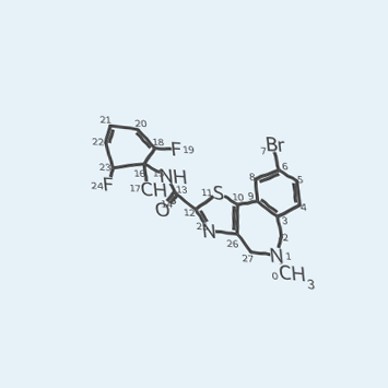 CN1Cc2ccc(Br)cc2-c2sc(C(=O)NC3(C)C(F)=CC=CC3F)nc2C1